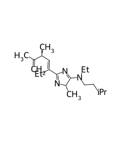 C=C(C)[C@@H](C)/C=C(\CC)C1=NC(C)C(N(CC)CCC(C)C)=N1